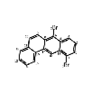 Brc1cccc2c(Br)c3ccc4ccccc4c3cc12